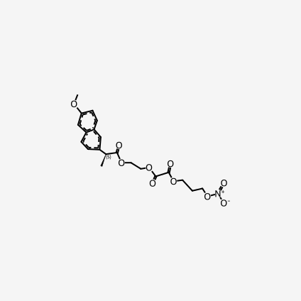 COc1ccc2cc([C@H](C)C(=O)OCCOC(=O)C(=O)OCCCO[N+](=O)[O-])ccc2c1